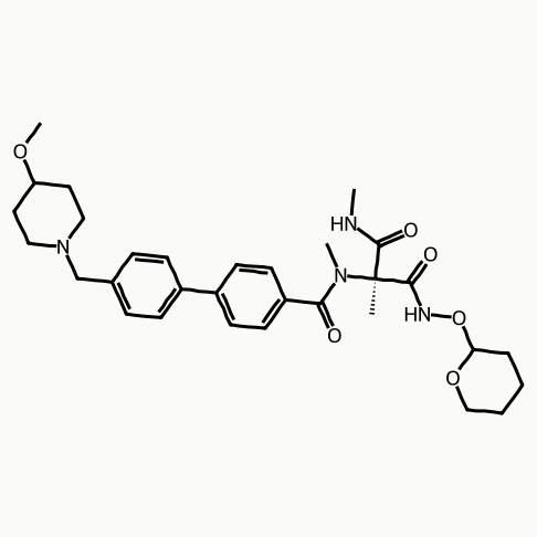 CNC(=O)[C@@](C)(C(=O)NOC1CCCCO1)N(C)C(=O)c1ccc(-c2ccc(CN3CCC(OC)CC3)cc2)cc1